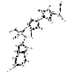 CCS(=O)(=O)N(Cc1ncc(-c2nnc(C(F)F)o2)s1)c1cn2cc(F)ccc2n1